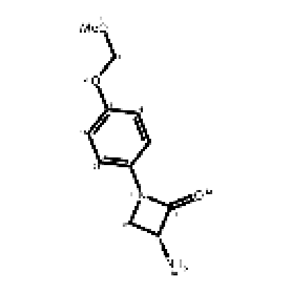 COCOc1ccc(N2C[C@H](N)C2=O)cc1